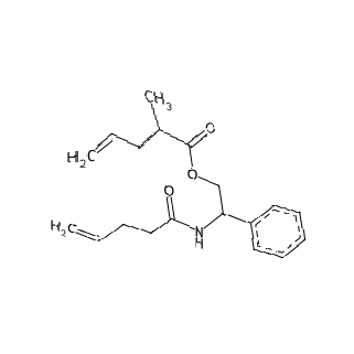 C=CCCC(=O)NC(COC(=O)C(C)CC=C)c1ccccc1